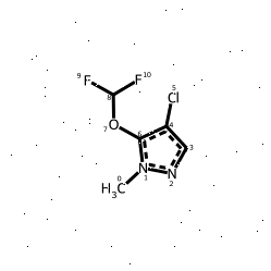 Cn1n[c]c(Cl)c1OC(F)F